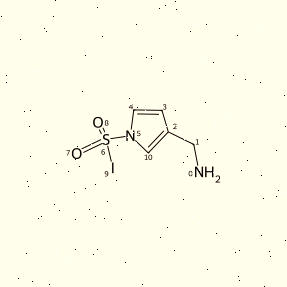 NCc1ccn(S(=O)(=O)I)c1